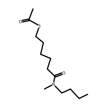 CCCCN(C)C(=O)CCCCCSC(C)=O